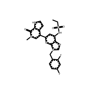 CCS(=O)(=O)Nc1cc(-c2cn(C)c(=O)c3[nH]ccc23)nc2c1ncn2Cc1ccc(F)cc1F